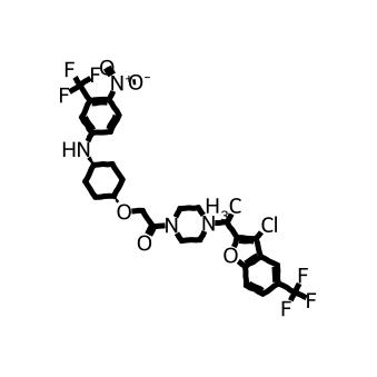 CC(c1oc2ccc(C(F)(F)F)cc2c1Cl)N1CCN(C(=O)CO[C@H]2CC[C@H](Nc3ccc([N+](=O)[O-])c(C(F)(F)F)c3)CC2)CC1